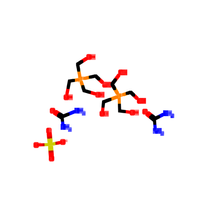 NC(N)=O.NC(N)=O.O=S(=O)([O-])[O-].OC[P+](CO)(CO)CO.OC[P+](CO)(CO)CO